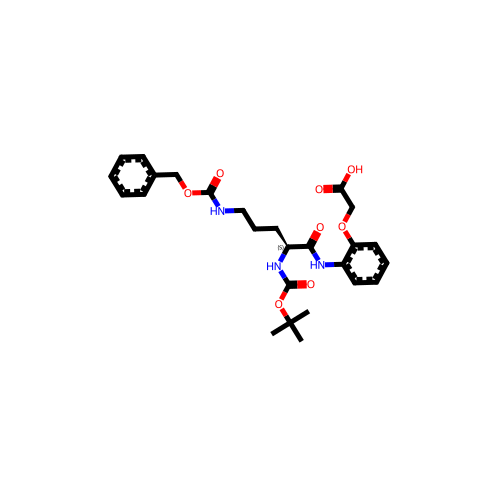 CC(C)(C)OC(=O)N[C@@H](CCCNC(=O)OCc1ccccc1)C(=O)Nc1ccccc1OCC(=O)O